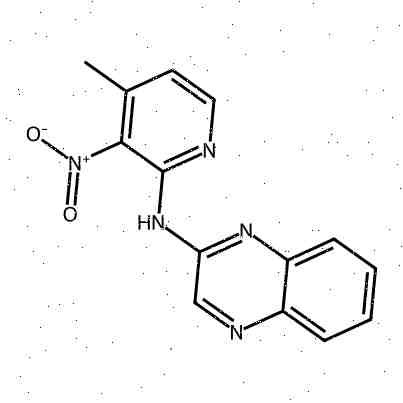 Cc1ccnc(Nc2cnc3ccccc3n2)c1[N+](=O)[O-]